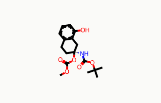 COC(=O)O[C@@]1(NC(=O)OC(C)(C)C)CCc2cccc(O)c2C1